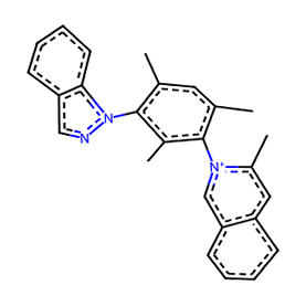 Cc1cc(C)c(-[n+]2cc3ccccc3cc2C)c(C)c1-n1ncc2ccccc21